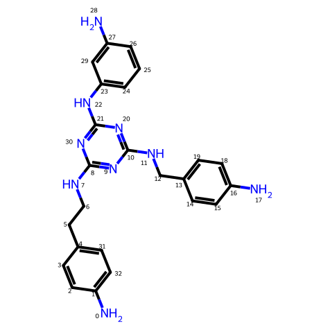 Nc1ccc(CCNc2nc(NCc3ccc(N)cc3)nc(Nc3cccc(N)c3)n2)cc1